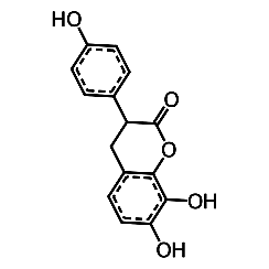 O=C1Oc2c(ccc(O)c2O)CC1c1ccc(O)cc1